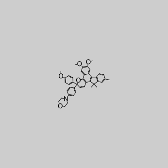 COc1ccc(C2(c3ccc(N4CCOCC4)cc3)C=Cc3c4c(c5cc(OC)c(OC)cc5c3O2)-c2ccc(C)cc2C4(C)C)cc1